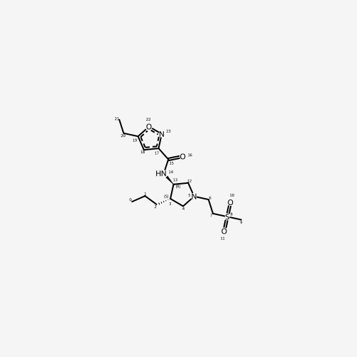 CCC[C@H]1CN(CCS(C)(=O)=O)C[C@@H]1NC(=O)c1cc(CC)on1